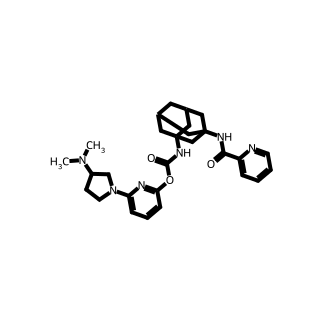 CN(C)C1CCN(c2cccc(OC(=O)NC34CC5CC(C3)CC(NC(=O)c3ccccn3)(C5)C4)n2)C1